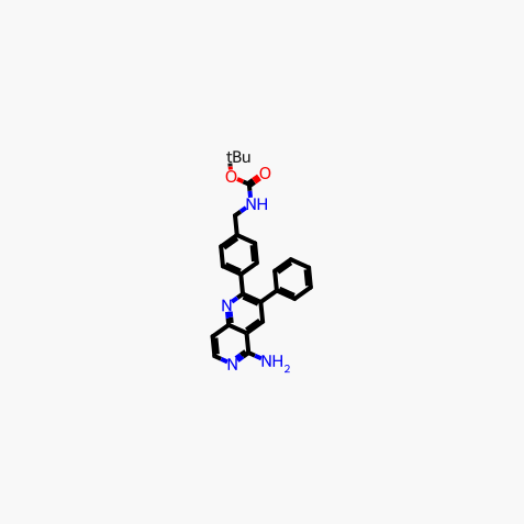 CC(C)(C)OC(=O)NCc1ccc(-c2nc3ccnc(N)c3cc2-c2ccccc2)cc1